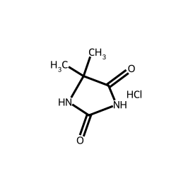 CC1(C)NC(=O)NC1=O.Cl